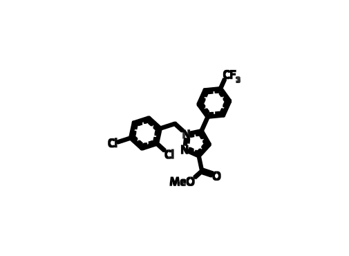 COC(=O)c1cc(-c2ccc(C(F)(F)F)cc2)n(Cc2ccc(Cl)cc2Cl)n1